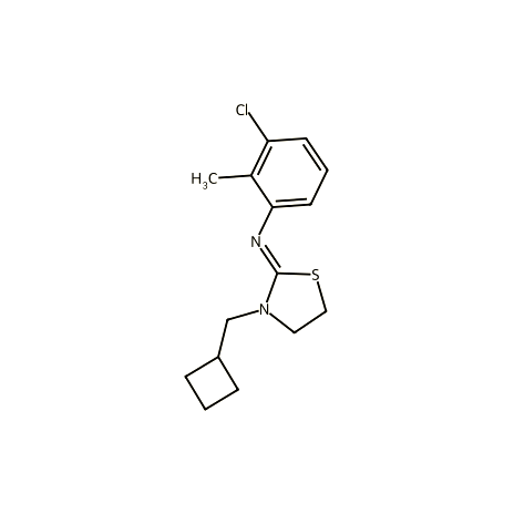 Cc1c(Cl)cccc1N=C1SCCN1CC1CCC1